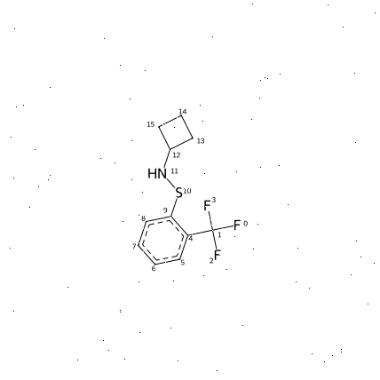 FC(F)(F)c1ccccc1SNC1CCC1